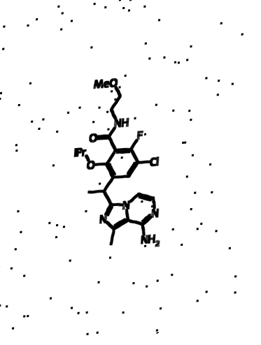 COCCNC(=O)c1c(F)c(Cl)cc(C(C)c2nc(C)c3c(N)nccn23)c1OC(C)C